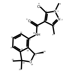 Cc1nn(C)c(Cl)c1C(=O)Nc1cccc2c1[C@@H](C)OC2(C)C